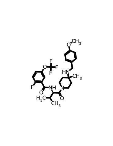 COc1ccc(CNC2(C)CCN(C(=O)[C@H](NC(=O)c3cc(OC(F)(F)F)ccc3F)C(C)C)CC2)cc1